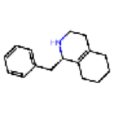 c1ccc(C[C@H]2NCCC3=C2CCCC3)cc1